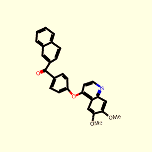 COc1cc2nccc(Oc3ccc(C(=O)c4ccc5ccccc5c4)cc3)c2cc1OC